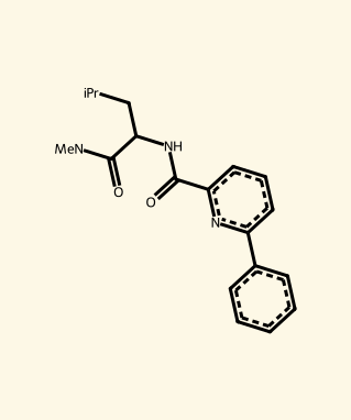 CNC(=O)C(CC(C)C)NC(=O)c1cccc(-c2ccccc2)n1